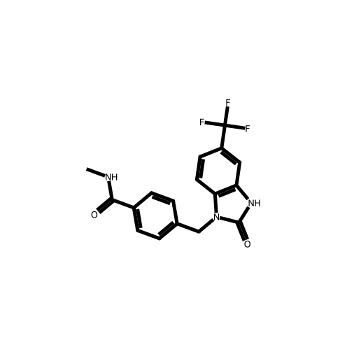 CNC(=O)c1ccc(Cn2c(=O)[nH]c3cc(C(F)(F)F)ccc32)cc1